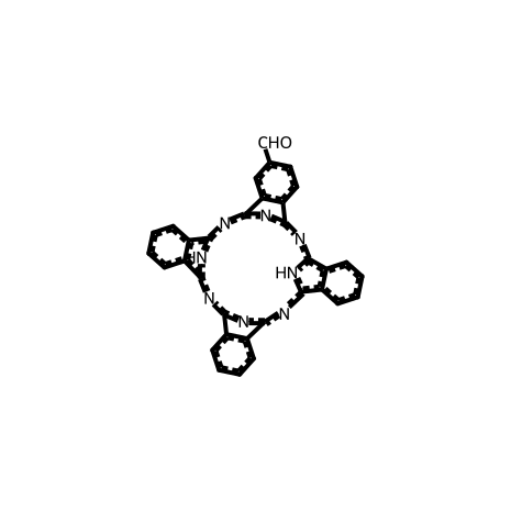 O=Cc1ccc2c(c1)-c1nc-2nc2[nH]c(nc3nc(nc4[nH]c(n1)c1ccccc41)-c1ccccc1-3)c1ccccc21